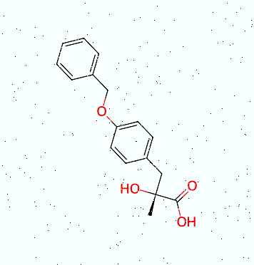 C[C@@](O)(Cc1ccc(OCc2ccccc2)cc1)C(=O)O